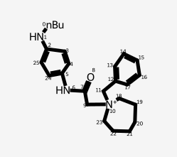 CCCCNc1ccc(NC(=O)C[N+]2(Cc3ccccc3)CCCCCC2)cc1